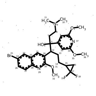 COc1cc(C(O)(CCN(C)C)C(CCC2CC2(F)F)c2cc3cc(Br)ccc3nc2OC)cc(OC)n1